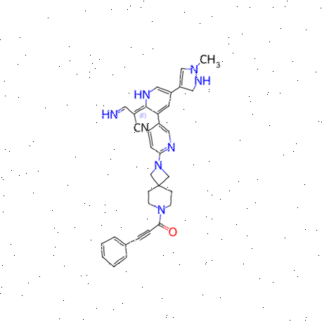 CN1C=C(C2=CN/C(=C(/C#N)C=N)C(c3ccc(N4CC5(CCN(C(=O)C#Cc6ccccc6)CC5)C4)nc3)=C2)CN1